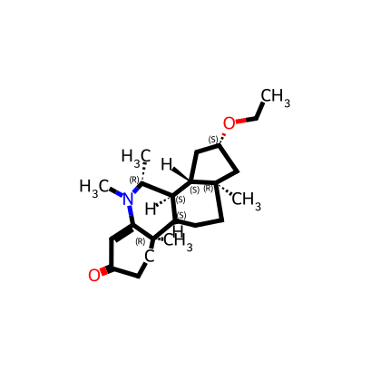 CCO[C@H]1C[C@H]2[C@@H]3[C@@H](C)N(C)C4=CC(=O)CC[C@]4(C)[C@H]3CC[C@]2(C)C1